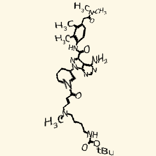 Cc1c(CC(=O)N(C)C)ccc(NC(=O)c2nn([C@@H]3CCCN(C(=O)/C=C/CN(C)CCCCNC(=O)OC(C)(C)C)C3)c3ncnc(N)c23)c1C